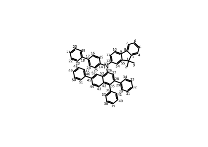 CC1(C)c2ccccc2-c2ccc(N(c3ccc(-c4ccccc4)cc3)c3cc(-c4ccccc4)c(-c4ccccc4)c4ccc(-c5ccccc5)cc34)cc21